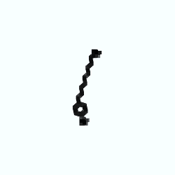 BrCCCCCCCCCc1ccc(Br)cc1